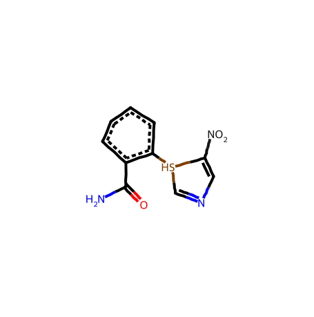 NC(=O)c1ccccc1[SH]1C=NC=C1[N+](=O)[O-]